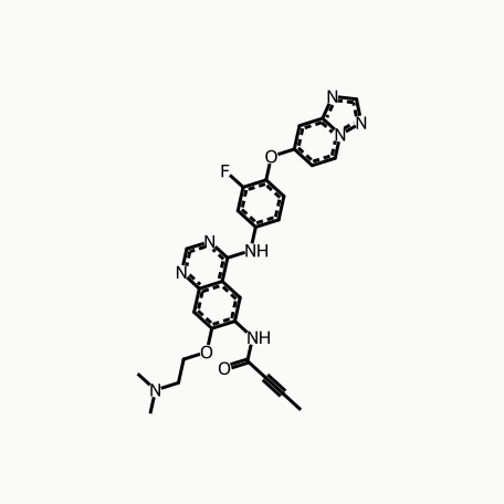 CC#CC(=O)Nc1cc2c(Nc3ccc(Oc4ccn5ncnc5c4)c(F)c3)ncnc2cc1OCCN(C)C